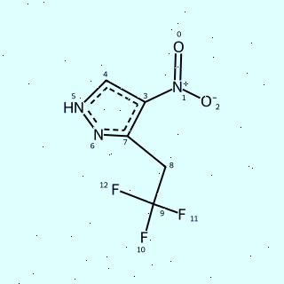 O=[N+]([O-])c1c[nH]nc1CC(F)(F)F